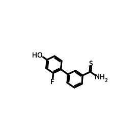 NC(=S)c1cccc(-c2ccc(O)cc2F)c1